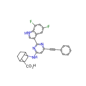 O=C(O)C1C2CCC(CC2)C1Nc1cc(C#Cc2ccccc2)nc(-c2c[nH]c3c(F)cc(F)cc23)n1